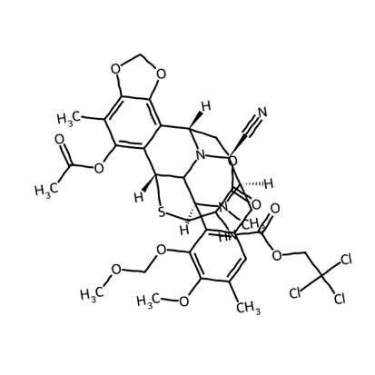 COCOc1c(OC)c(C)cc2c1[C@H]1C3[C@@H]4SCC(NC(=O)OCC(Cl)(Cl)Cl)C(=O)OC[C@@H](c5c6c(c(C)c(OC(C)=O)c54)OCO6)N3[C@@H](C#N)[C@@H](C2)N1C